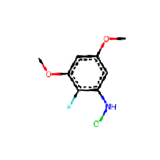 COc1cc(NCl)c(F)c(OC)c1